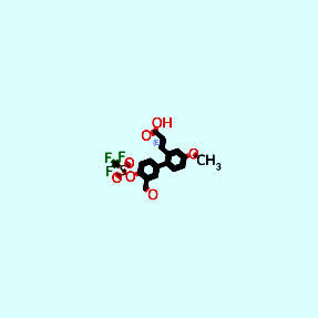 COc1ccc(-c2ccc(OS(=O)(=O)C(F)(F)F)c(C=O)c2)c(/C=C/C(=O)O)c1